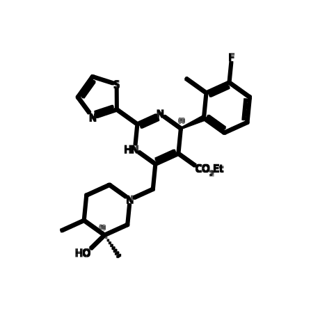 CCOC(=O)C1=C(CN2CCC(C)[C@](C)(O)C2)NC(c2nccs2)=N[C@H]1c1cccc(F)c1C